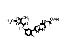 COC(=O)Nc1cnc2nc(-c3cc(NC(=O)c4oc(C)nc4C)ccc3F)cn2c1